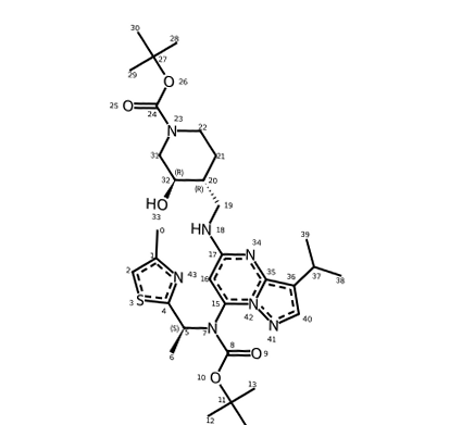 Cc1csc([C@H](C)N(C(=O)OC(C)(C)C)c2cc(NC[C@H]3CCN(C(=O)OC(C)(C)C)C[C@@H]3O)nc3c(C(C)C)cnn23)n1